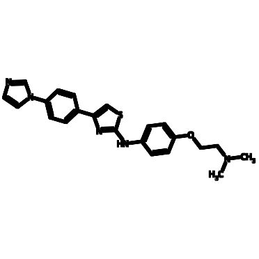 CN(C)CCOc1ccc(Nc2nc(-c3ccc(-n4ccnc4)cc3)cs2)cc1